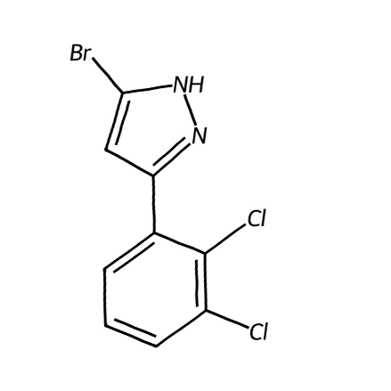 Clc1cccc(-c2cc(Br)[nH]n2)c1Cl